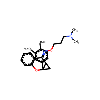 COc1ccc(C23CC2C(=NOCCCN(C)C)c2ccccc2O3)cc1OC